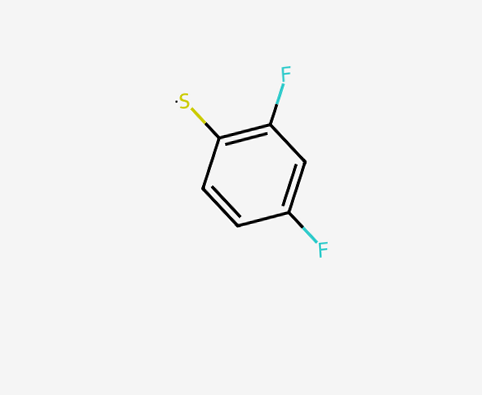 Fc1ccc([S])c(F)c1